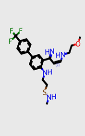 CNSCCNc1ccc(-c2ccc(C(F)(F)F)cc2)cc1C(=N)/C=C\NCCOC